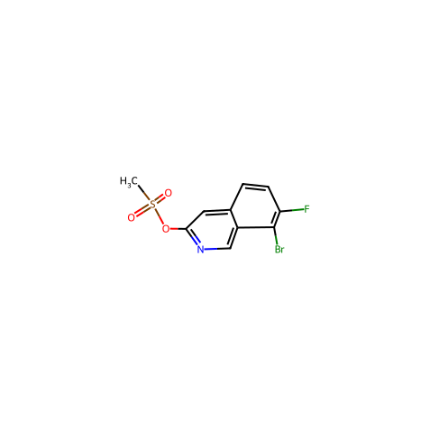 CS(=O)(=O)Oc1cc2ccc(F)c(Br)c2cn1